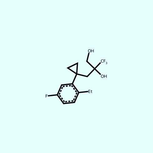 CCc1ccc(F)cc1C1(CC(O)(CO)C(F)(F)F)CC1